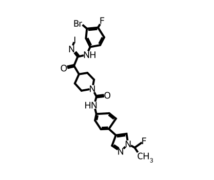 CC(F)n1cc(-c2ccc(NC(=O)N3CCC(C(=O)/C(=N/I)Nc4ccc(F)c(Br)c4)CC3)cc2)cn1